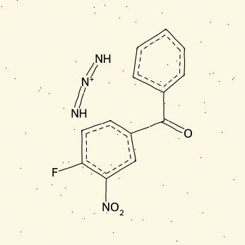 N=[N+]=N.O=C(c1ccccc1)c1ccc(F)c([N+](=O)[O-])c1